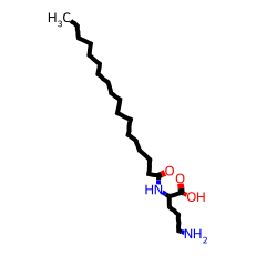 CCCCCCCCCCCCCCCCCC(=O)NC(CCCN)C(=O)O